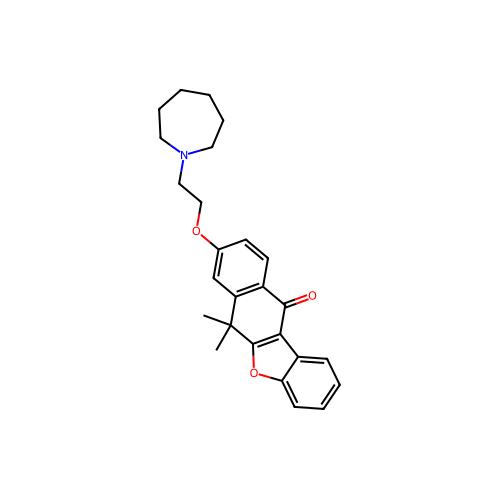 CC1(C)c2cc(OCCN3CCCCCC3)ccc2C(=O)c2c1oc1ccccc21